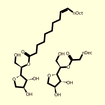 CCCCCCCC/C=C\CCCCCCCC(=O)O[C@H](CO)[C@H]1OC[C@H](O)[C@H]1O.CCCCCCCCCCCC(=O)O[C@H](CO)[C@H]1OC[C@H](O)[C@H]1O